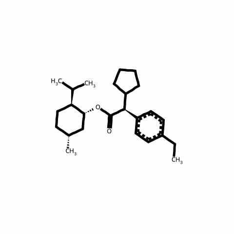 CCc1ccc([C@@H](C(=O)O[C@@H]2C[C@H](C)CC[C@H]2C(C)C)C2CCCC2)cc1